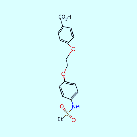 CCS(=O)(=O)Nc1ccc(OCCOc2ccc(C(=O)O)cc2)cc1